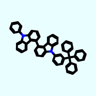 c1ccc(-n2c3ccccc3c3c(-c4cccc5c4c4ccccc4n5-c4cccc([Si](c5ccccc5)(c5ccccc5)c5ccccc5)c4)cccc32)cc1